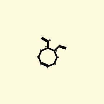 C=CC1CCC=CCCC1C=C